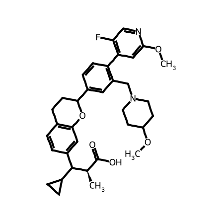 COc1cc(-c2ccc(C3CCc4ccc(C(C5CC5)[C@H](C)C(=O)O)cc4O3)cc2CN2CCC(OC)CC2)c(F)cn1